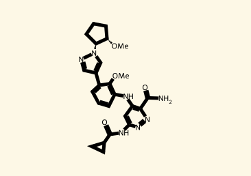 COc1c(Nc2cc(NC(=O)C3CC3)nnc2C(N)=O)cccc1-c1cnn([C@@H]2CCC[C@@H]2OC)c1